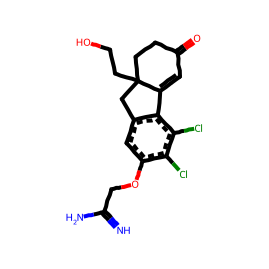 N=C(N)COc1cc2c(c(Cl)c1Cl)C1=CC(=O)CCC1(CCO)C2